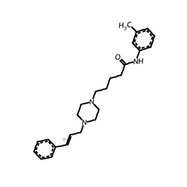 Cc1cccc(NC(=O)CCCCN2CCN(C/C=C/c3ccccc3)CC2)c1